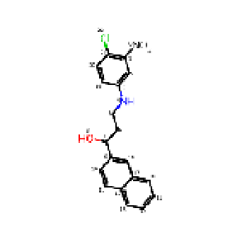 O=[N+]([O-])c1cc(NCCC(O)c2ccc3ccccc3c2)ccc1Cl